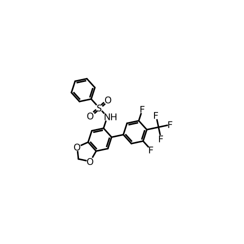 O=S(=O)(Nc1cc2c(cc1-c1cc(F)c(C(F)(F)F)c(F)c1)OCO2)c1ccccc1